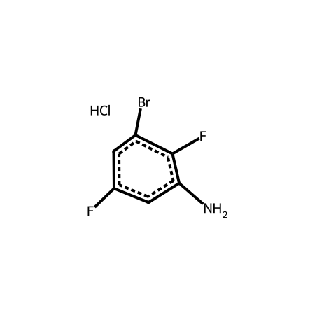 Cl.Nc1cc(F)cc(Br)c1F